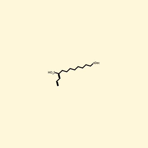 C=CC=C(CCCCCCCCCCCCCCCCCC)S(=O)(=O)O